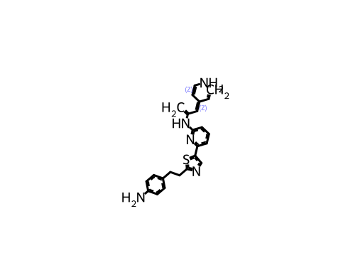 C=CC(/C=C\N)=C/C(=C)Nc1cccc(-c2cnc(CCc3ccc(N)cc3)s2)n1